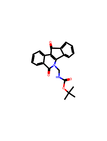 CC(C)(C)OC(=O)NCn1c2c(c3ccccc3c1=O)C(=O)c1ccccc1-2